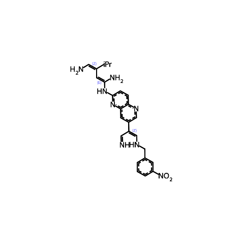 CC(C)C(=C/N)/C=C(\N)Nc1ccc2ncc(/C(C=N)=C/NCc3cccc([N+](=O)[O-])c3)cc2n1